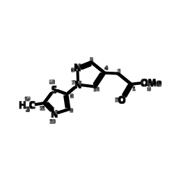 COC(=O)Cc1cnn(-c2cnc(C)s2)c1